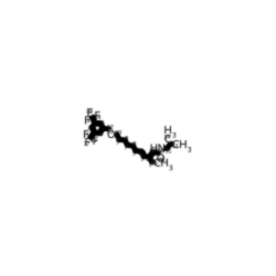 CCC(C=CCCCCCCOCc1cc(C(F)(F)F)cc(C(F)(F)F)c1)=CC(=O)NCC(C)C